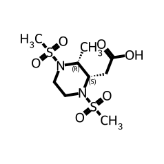 C[C@@H]1[C@H](CC(=O)O)N(S(C)(=O)=O)CCN1S(C)(=O)=O